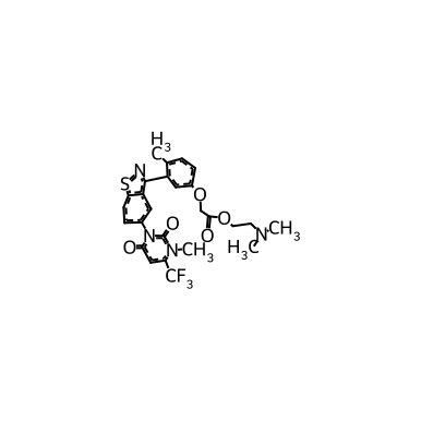 Cc1ccc(OCC(=O)OCCN(C)C)cc1-c1nsc2ccc(-n3c(=O)cc(C(F)(F)F)n(C)c3=O)cc12